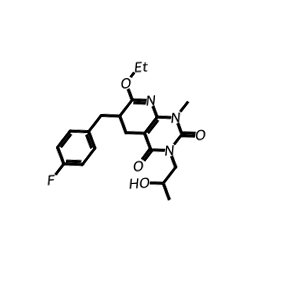 CCOC1=Nc2c(c(=O)n(CC(C)O)c(=O)n2C)CC1Cc1ccc(F)cc1